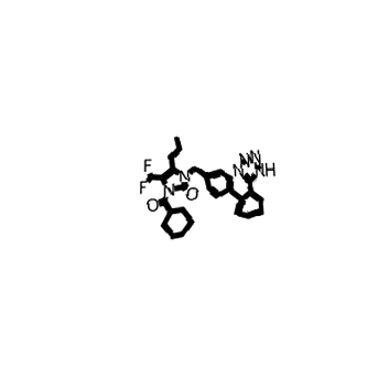 CCCc1c(C(F)F)n(C(=O)C2CCCCC2)c(=O)n1Cc1ccc(-c2ccccc2-c2nnn[nH]2)cc1